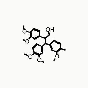 COc1cc(C(c2ccc(OC)c(OC)c2)C(CO)c2ccc(OC)c(OC)c2)ccc1C